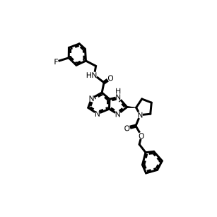 O=C(NCc1cccc(F)c1)c1ncnc2nc([C@H]3CCCN3C(=O)OCc3ccccc3)[nH]c12